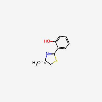 C[C@H]1CSC(c2ccccc2O)=N1